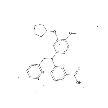 COc1ccc(N(Cc2cccnn2)c2cccc(C(=O)O)c2)cc1OC1CCCC1